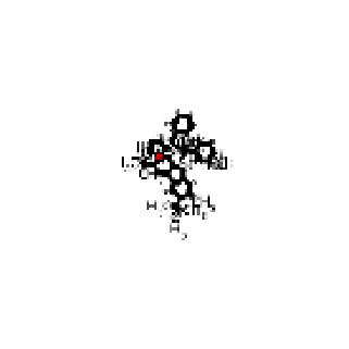 Cl.Cl.[CH2]=[Zr]([CH2]c1ccccc1)([C]1=CC=CC1)([c]1c(C)c(C(C)(C)C)cc2c1Cc1cc(C)c(C(C)(C)C)cc1-2)[C](C)(C)c1ccccc1